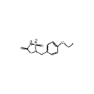 CCOc1ccc(CN2CC(=O)NS2(=O)=O)cc1